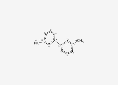 Cc1cccc(-c2cccc(C#N)c2)c1